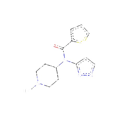 CN1CCC(N(C(=O)c2cccs2)c2cc[nH]n2)CC1